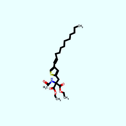 CCCCCCCCCCC#Cc1csc(CC(NC(C)=O)(C(=O)OCC)C(=O)OCC)c1